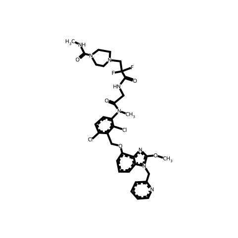 CNC(=O)N1CCN(CC(F)(F)C(=O)NCC(=O)N(C)c2ccc(Cl)c(COc3cccc4c3nc(OC)n4Cc3ccccn3)c2Cl)CC1